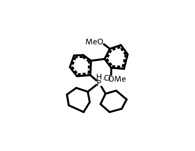 COc1cccc(OC)c1-c1ccccc1[PH](Cl)(C1CCCCC1)C1CCCCC1